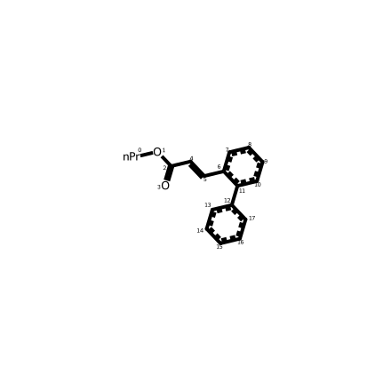 CCCOC(=O)/C=C/c1ccccc1-c1ccccc1